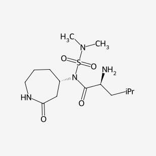 CC(C)C[C@H](N)C(=O)N([C@H]1CCCNC(=O)C1)S(=O)(=O)N(C)C